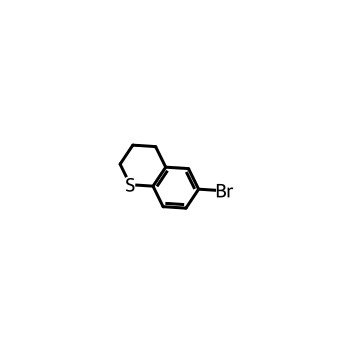 Brc1ccc2c(c1)CCCS2